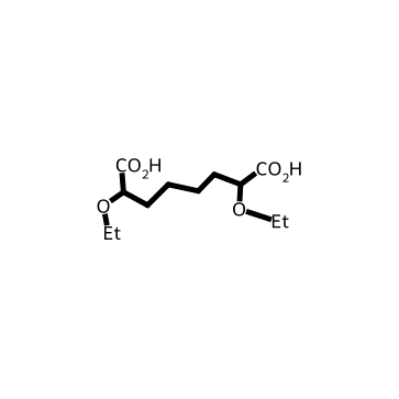 CCOC(CCCCC(OCC)C(=O)O)C(=O)O